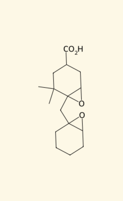 CC1(C)CC(C(=O)O)CC2OC21CC12CCCCC1O2